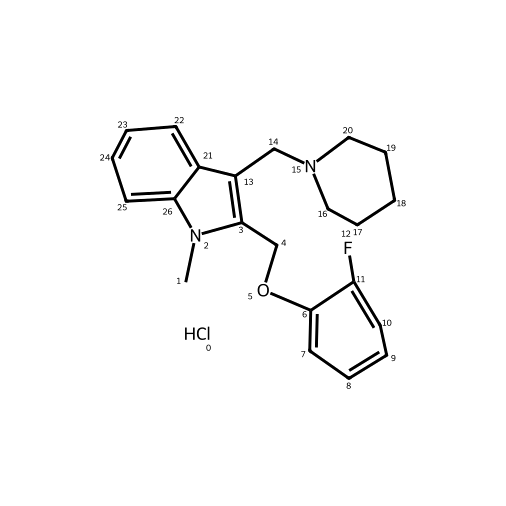 Cl.Cn1c(COc2ccccc2F)c(CN2CCCCC2)c2ccccc21